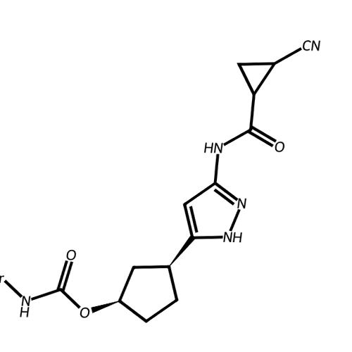 CC(C)NC(=O)O[C@@H]1CC[C@H](c2cc(NC(=O)C3CC3C#N)n[nH]2)C1